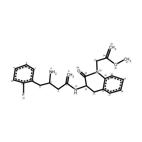 C=C(CC(N)Cc1ccccc1F)NC1Cc2ccccc2N(CC(=C)OC)C1=O